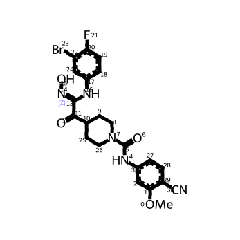 COc1cc(NC(=O)N2CCC(C(=O)/C(=N/O)Nc3ccc(F)c(Br)c3)CC2)ccc1C#N